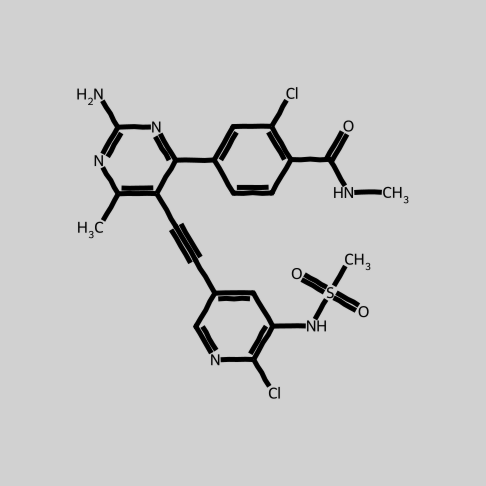 CNC(=O)c1ccc(-c2nc(N)nc(C)c2C#Cc2cnc(Cl)c(NS(C)(=O)=O)c2)cc1Cl